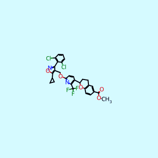 COC(=O)c1ccc2c(c1)CCC(c1ccc(OCc3c(-c4c(Cl)cccc4Cl)noc3C3CC3)nc1C(F)(F)F)O2